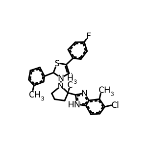 Cc1cccc(C2SC(c3ccc(F)cc3)=[C]N2N2CCC[C@@]2(C)c2nc3c(C)c(Cl)ccc3[nH]2)c1